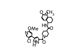 COc1cc(-c2cc(C(=O)N3CCC(C(=O)NC4CCCc5c4ccc(=O)n5C)CC3)n[nH]2)c(Cl)cn1